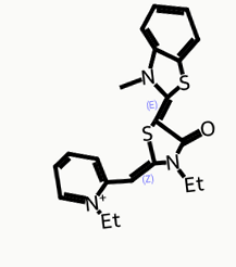 CCn1c(=O)/c(=C2\Sc3ccccc3N2C)s/c1=C\c1cccc[n+]1CC